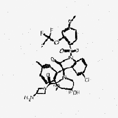 COc1ccc(S(=O)(=O)N2C(=O)C(c3cc(C)ccc3OC)(N3C[C@H](O)C[C@H]3C(=O)N3CC(N)C3)c3cc(Cl)ccc32)c(OC(F)(F)F)c1